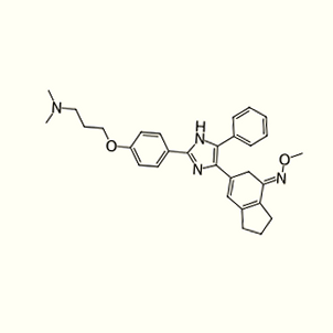 CON=C1CC(c2nc(-c3ccc(OCCCN(C)C)cc3)[nH]c2-c2ccccc2)=CC2=C1CCC2